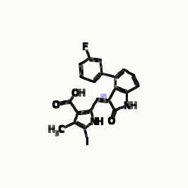 Cc1c(I)[nH]c(/C=C2\C(=O)Nc3cccc(-c4cccc(F)c4)c32)c1C(=O)O